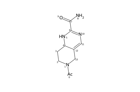 CC(=O)N1CCC2NC(C(N)=O)=NC=C2C1